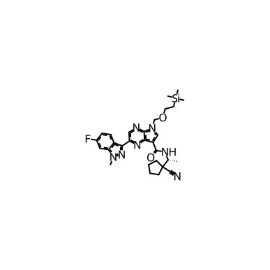 C[C@@H](NC(=O)c1cn(COCC[Si](C)(C)C)c2ncc(-c3nn(C)c4cc(F)ccc34)nc12)C1(C#N)CCCC1